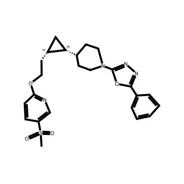 CS(=O)(=O)c1ccc(OCC[C@@H]2C[C@@H]2C2CCN(c3nnc(-c4ccccc4)o3)CC2)nc1